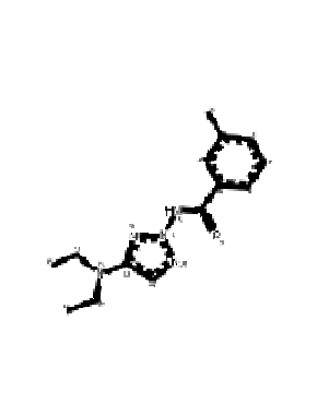 [CH2]c1cccc(C(=O)Nn2ncc(N(CC)CC)n2)c1